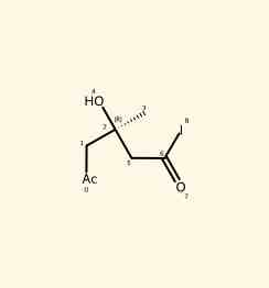 CC(=O)C[C@@](C)(O)CC(=O)I